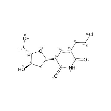 O=c1[nH]c(=O)n([C@H]2C[C@@H](O)[C@H](CO)O2)cc1C=CCl